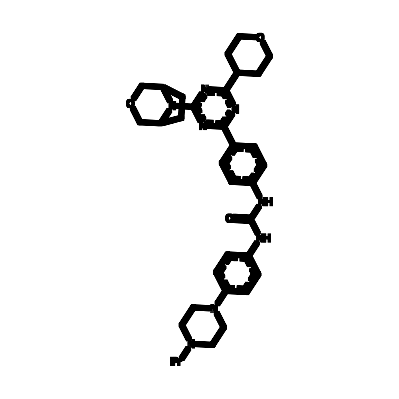 CC(C)N1CCN(c2ccc(NC(=O)Nc3ccc(-c4nc(C5CCOCC5)nc(N5C6CCC5COC6)n4)cc3)cc2)CC1